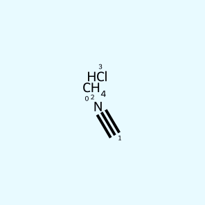 C.C#N.Cl